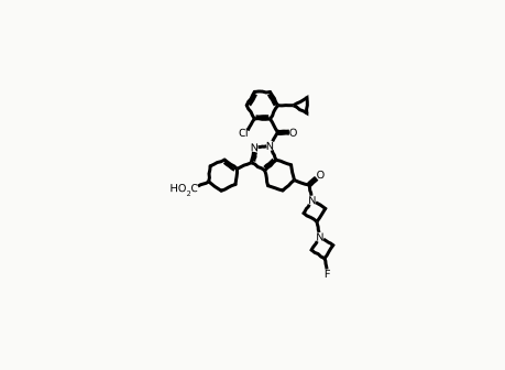 O=C(O)C1CC=C(c2nn(C(=O)c3c(Cl)cccc3C3CC3)c3c2CCC(C(=O)N2CC(N4CC(F)C4)C2)C3)CC1